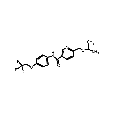 CC(C)OCc1ccc(C(=O)Nc2ccc(OCC(F)(F)F)cc2)cn1